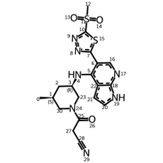 C[C@H]1C[C@@H](Nc2c(-c3nnc(S(C)(=O)=O)s3)cnc3[nH]ccc23)CN(C(=O)CC#N)C1